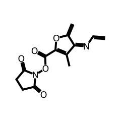 C=C/N=C1\C(=C)OC(C(=O)ON2C(=O)CCC2=O)=C1C